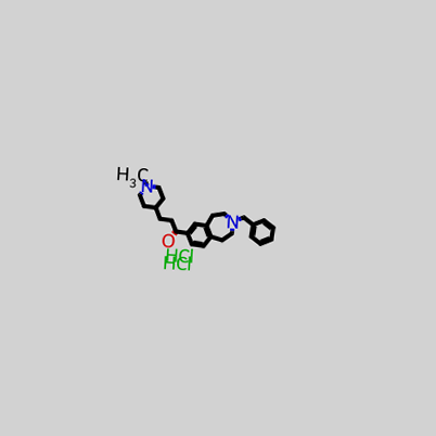 CN1CCC(CCC(=O)c2ccc3c(c2)CCN(Cc2ccccc2)CC3)CC1.Cl.Cl